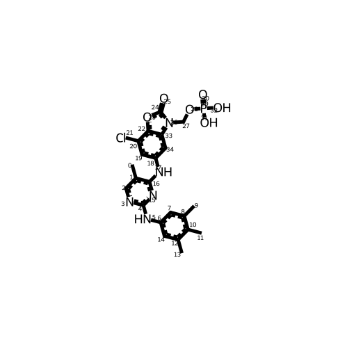 Cc1cnc(Nc2cc(C)c(C)c(C)c2)nc1Nc1cc(Cl)c2oc(=O)n(COP(=O)(O)O)c2c1